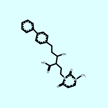 Cn1ccc(=O)n(CCC(C(=O)O)C(O)CCc2ccc(-c3ccccc3)cc2)c1=O